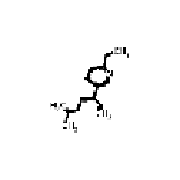 C=C/C(=C\CC(=C)C)c1ccc(CC)nc1